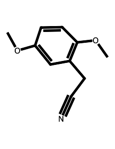 COc1ccc(OC)c(CC#N)c1